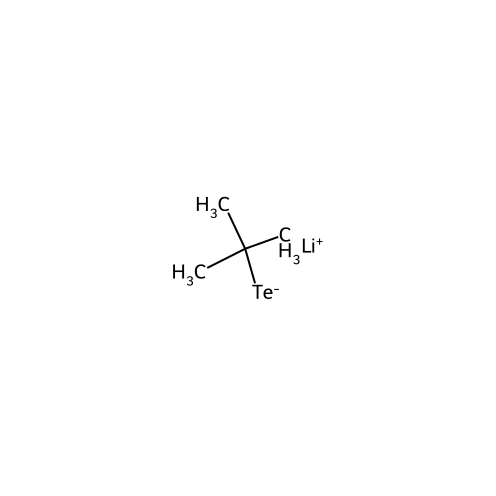 CC(C)(C)[Te-].[Li+]